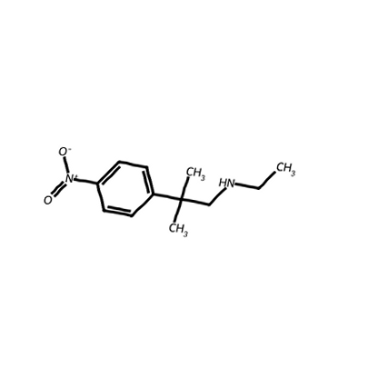 CCNCC(C)(C)c1ccc([N+](=O)[O-])cc1